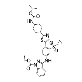 CC(C)OC(=O)NC1CCC(c2ncc(-c3ccc(Nc4nn(C(=O)OC(C)(C)C)c5ccccc45)cc3S(=O)(=O)C3CC3)s2)CC1